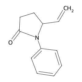 C=CC1CCC(=O)N1c1ccccc1